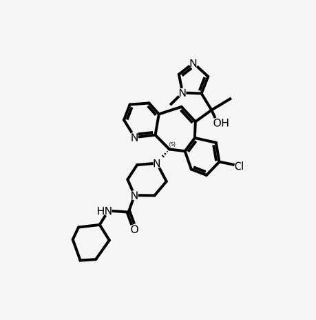 Cn1cncc1C(C)(O)C1=Cc2cccnc2[C@@H](N2CCN(C(=O)NC3CCCCC3)CC2)c2ccc(Cl)cc21